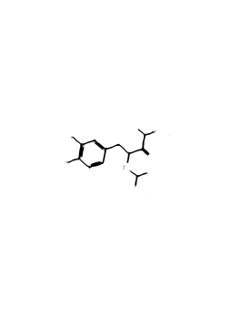 CC(C)NC(Cc1ccc(Cl)c(Cl)c1)C(=O)C(C)C